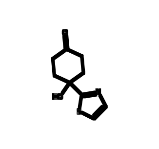 O=C1CCC(O)(c2nccs2)CC1